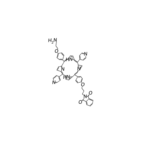 NCCCOc1ccc(-c2c3nc(c(-c4ccncc4)c4ccc([nH]4)c(-c4ccc(OCCCN5C(=O)c6ccccc6C5=O)cc4)c4nc(c(-c5ccncc5)c5ccc2[nH]5)C=C4)C=C3)cc1